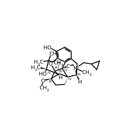 CO[C@]12CC[C@@]3(C[C@@H]1[C@](C)(O)C(C)(C)C)[C@H]1Cc4ccc(O)c5c4[C@@]3(CC[N+]1(C)CC1CC1)[C@H]2O5